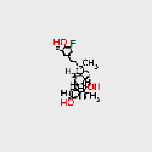 C[C@H]1[C@@H](O)[C@@H]2[C@H](CC[C@]3(C)[C@@H]([C@H](C)C/C=C/c4cc(F)c(O)c(F)c4)CC[C@@H]23)[C@@]2(C)CC[C@@H](O)C[C@@H]12